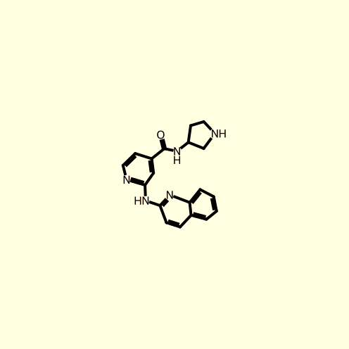 O=C(NC1CCNC1)c1ccnc(Nc2ccc3ccccc3n2)c1